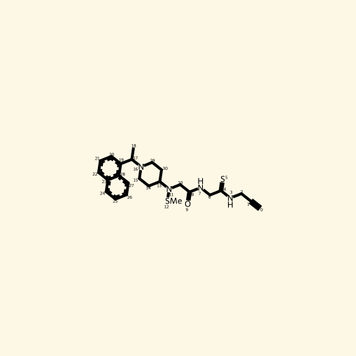 C#CCNC(=S)CNC(=O)CN(SC)C1CCN(C(C)c2cccc3ccccc23)CC1